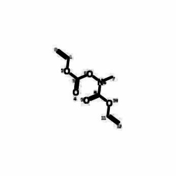 C=COC(=O)ON(C)C(=O)OC=C